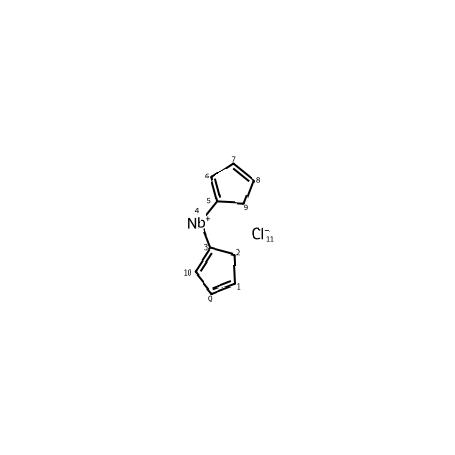 C1=CC[C]([Nb+][C]2=CC=CC2)=C1.[Cl-]